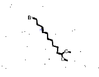 COC(CCCCCC/C=C/CCBr)OC